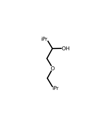 CC(C)COCC(O)C(C)C